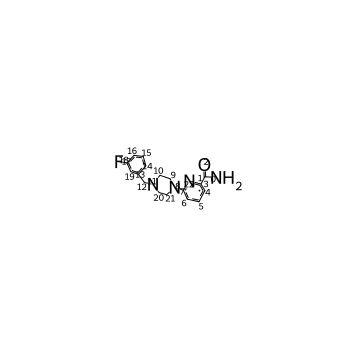 NC(=O)c1[c]ccc(N2CCN(Cc3cccc(F)c3)CC2)n1